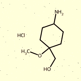 COC1(CO)CCC(N)CC1.Cl